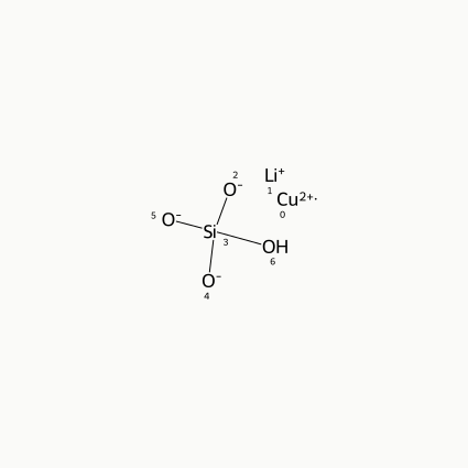 [Cu+2].[Li+].[O-][Si]([O-])([O-])O